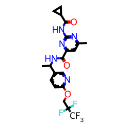 Cc1cc(C(=O)NC(C)c2ccc(OCC(F)(F)C(F)(F)F)nc2)nc(NC(=O)C2CC2)n1